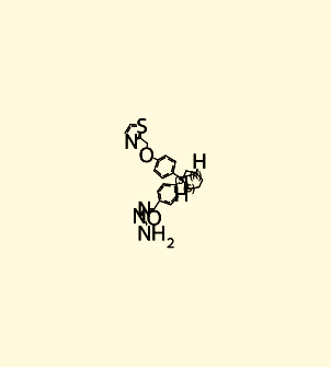 Nc1nnc(-c2ccc([C@]3(c4ccc(OCc5nccs5)cc4)C[C@@H]4CC[C@H]3C4)cc2)o1